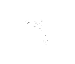 Nc1nc(N2CCN(Cc3ccc[nH]3)CC2)cc2nc(-c3ccco3)nn12